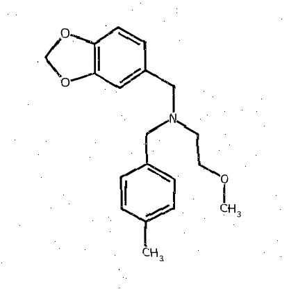 COCCN(Cc1ccc(C)cc1)Cc1ccc2c(c1)OCO2